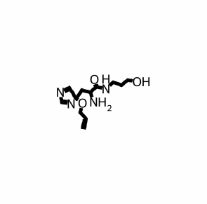 C=CCOC1(CC(N)C(=O)NCCCO)C=NC=N1